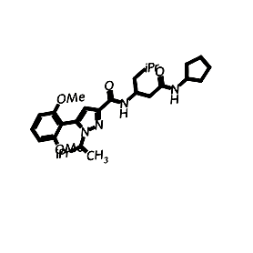 COc1cccc(OC)c1-c1cc(C(=O)NC(CC(=O)NC2CCCC2)CC(C)C)nn1C(C)C(C)C